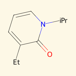 CCc1cccn(C(C)C)c1=O